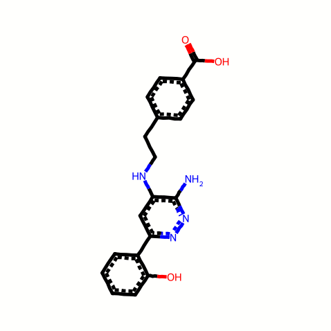 Nc1nnc(-c2ccccc2O)cc1NCCc1ccc(C(=O)O)cc1